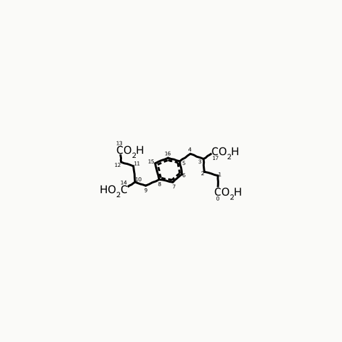 O=C(O)CCC(Cc1ccc(CC(CCC(=O)O)C(=O)O)cc1)C(=O)O